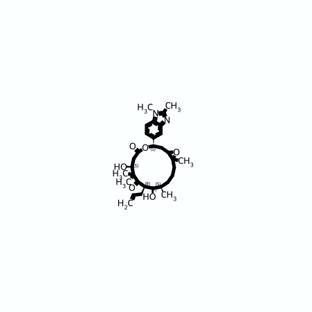 C=CC[C@H]1C(=O)C(C)(C)[C@@H](O)CC(=O)O[C@H](c2ccc3c(c2)nc(C)n3C)CC2OC2(C)CCC[C@H](C)[C@H]1O